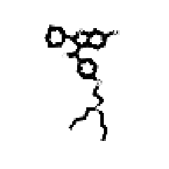 CCCCN(CCCC)CCOc1ccc(C(=O)c2c(-c3ccccc3)sc3cc(O)ccc23)cc1